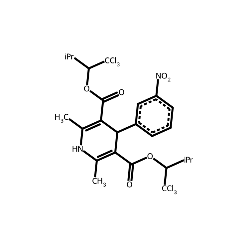 CC1=C(C(=O)OC(C(C)C)C(Cl)(Cl)Cl)C(c2cccc([N+](=O)[O-])c2)C(C(=O)OC(C(C)C)C(Cl)(Cl)Cl)=C(C)N1